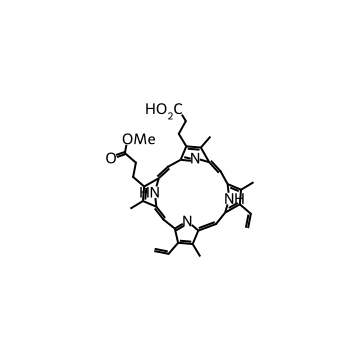 C=CC1=C(C)c2cc3[nH]c(cc4nc(cc5[nH]c(cc1n2)c(C)c5CCC(=O)OC)C(CCC(=O)O)=C4C)c(C)c3C=C